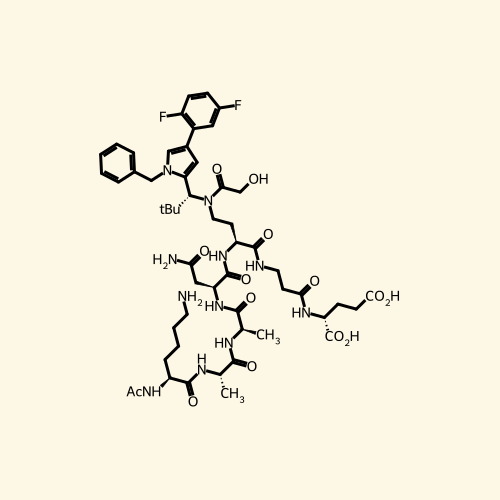 CC(=O)N[C@@H](CCCCN)C(=O)N[C@@H](C)C(=O)N[C@H](C)C(=O)N[C@@H](CC(N)=O)C(=O)N[C@@H](CCN(C(=O)CO)[C@@H](c1cc(-c2cc(F)ccc2F)cn1Cc1ccccc1)C(C)(C)C)C(=O)NCCC(=O)N[C@H](CCC(=O)O)C(=O)O